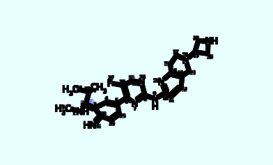 CN/C(=C1/C=C(c2nc(Nc3ccc4c(n3)CCN(C3CNC3)C4)ncc2F)C=CC1=N)C(C)C